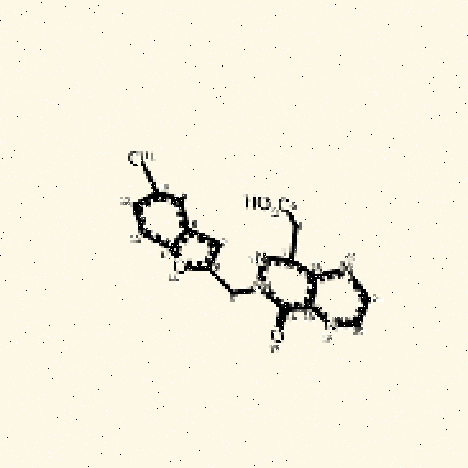 O=C(O)Cc1nn(Cc2cc3cc(Cl)ccc3o2)c(=O)c2nccnc12